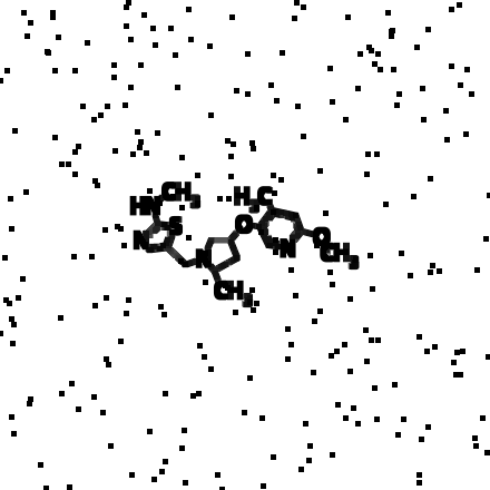 CNc1ncc(CN2CC(Oc3cnc(OC)cc3C)CC2C)s1